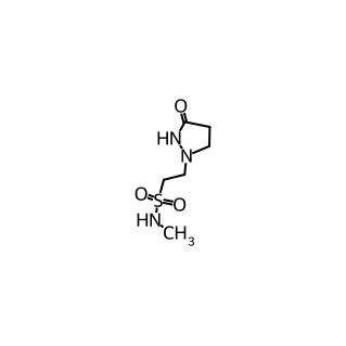 CNS(=O)(=O)CCN1CCC(=O)N1